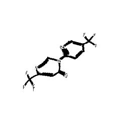 O=c1cc(C(F)(F)F)ncn1-c1ccc(C(F)(F)F)cn1